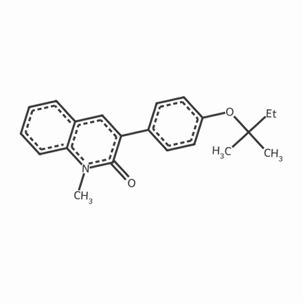 CCC(C)(C)Oc1ccc(-c2cc3ccccc3n(C)c2=O)cc1